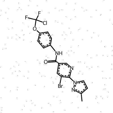 Cc1ccn(-c2ncc(C(=O)Nc3ccc(OC(F)(F)Cl)cc3)cc2Br)n1